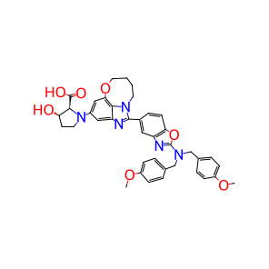 COc1ccc(CN(Cc2ccc(OC)cc2)c2nc3cc(-c4nc5cc(N6CC[C@@H](O)[C@H]6C(=O)O)cc6c5n4CCCCO6)ccc3o2)cc1